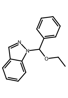 CCOC(c1ccccc1)n1ncc2ccccc21